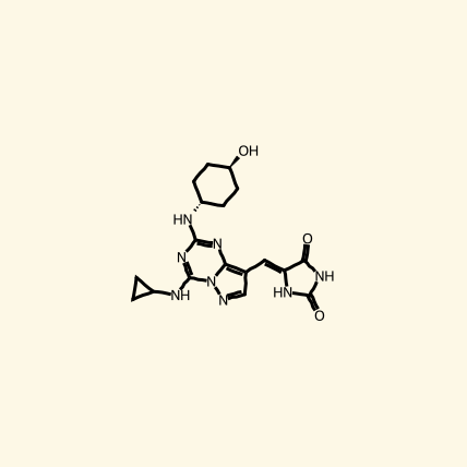 O=C1NC(=O)/C(=C/c2cnn3c(NC4CC4)nc(N[C@H]4CC[C@H](O)CC4)nc23)N1